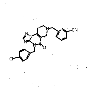 N#Cc1cccc(CN2CCc3c(c(=O)n(Cc4ccc(Cl)cc4)c4ncnn34)C2)c1